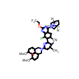 COc1ccc(CN(Cc2ccc(OC)cc2)c2cc(C)c(I)c(-c3c(C#N)cc4c(N5C[C@H]6CC[C@@H](C5)N6C(=O)O)nc(OCC(F)(F)F)nc4c3F)n2)cc1